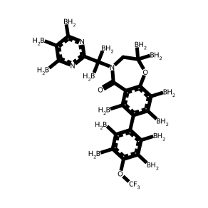 Bc1nc(C(B)(B)N2CC(B)(B)Oc3c(B)c(B)c(-c4c(B)c(B)c(OC(F)(F)F)c(B)c4B)c(B)c3C2=O)nc(B)c1B